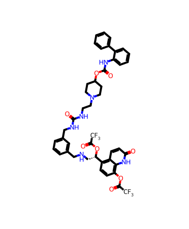 O=C(NCCN1CCC(OC(=O)Nc2ccccc2-c2ccccc2)CC1)NCc1cccc(CNC[C@H](OC(=O)C(F)(F)F)c2ccc(OC(=O)C(F)(F)F)c3[nH]c(=O)ccc23)c1